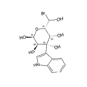 OC(Br)[C@H]1O[C@H](O)[C@H](O)[C@](O)(c2c[nH]c3ccccc23)[C@H]1O